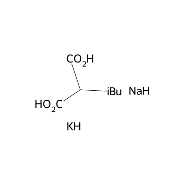 CCC(C)C(C(=O)O)C(=O)O.[KH].[NaH]